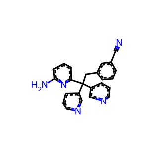 N#Cc1cccc(CC(c2cccnc2)(c2cccnc2)c2cccc(N)n2)c1